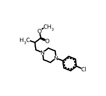 COC(=O)C(C)CN1CCN(c2ccc(Cl)cc2)CC1